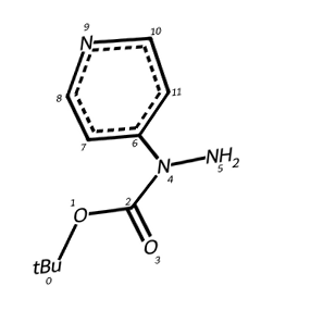 CC(C)(C)OC(=O)N(N)c1ccncc1